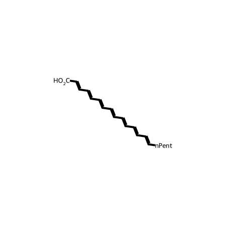 CCCCC/C=C/C=C/C=C/C=C/C=C/C=C/C=C/C(=O)O